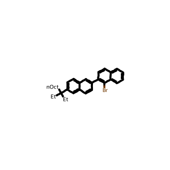 CCCCCCCCC(CC)(CC)c1ccc2cc(-c3ccc4ccccc4c3Br)ccc2c1